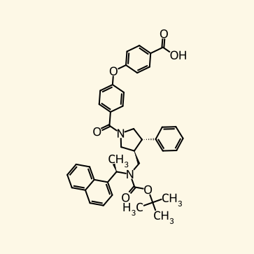 C[C@H](c1cccc2ccccc12)N(C[C@H]1CN(C(=O)c2ccc(Oc3ccc(C(=O)O)cc3)cc2)C[C@@H]1c1ccccc1)C(=O)OC(C)(C)C